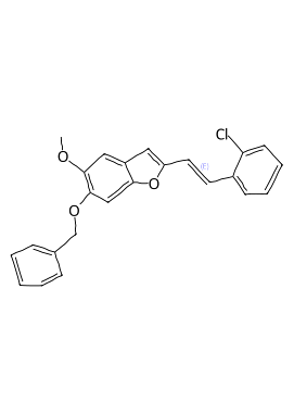 COc1cc2cc(/C=C/c3ccccc3Cl)oc2cc1OCc1ccccc1